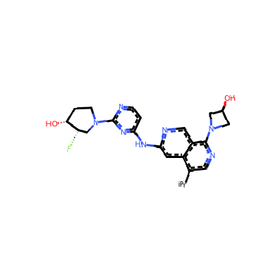 CC(C)c1cnc(N2CC(O)C2)c2cnc(Nc3ccnc(N4CC[C@@H](O)[C@@H](F)C4)n3)cc12